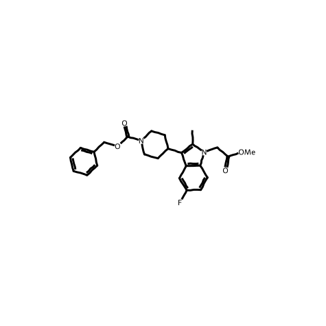 COC(=O)Cn1c(C)c(C2CCN(C(=O)OCc3ccccc3)CC2)c2cc(F)ccc21